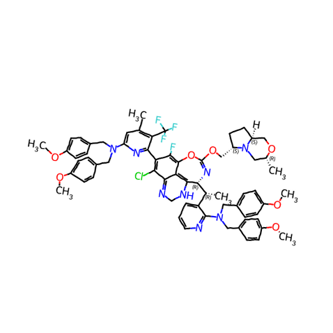 COc1ccc(CN(Cc2ccc(OC)cc2)c2cc(C)c(C(F)(F)F)c(-c3c(F)c4c5c(c3Cl)=NCNC=5[C@@H]([C@H](C)c3cccnc3N(Cc3ccc(OC)cc3)Cc3ccc(OC)cc3)N=C(OC[C@@H]3CC[C@H]5CO[C@H](C)CN35)O4)n2)cc1